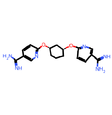 N=C(N)c1ccc(O[C@@H]2CCC[C@H](Oc3ccc(C(=N)N)cn3)C2)nc1